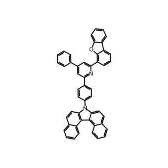 c1ccc(-c2cc(-c3ccc(-n4c5ccc6ccccc6c5c5c6ccccc6ccc54)cc3)nc(-c3cccc4c3oc3ccccc34)c2)cc1